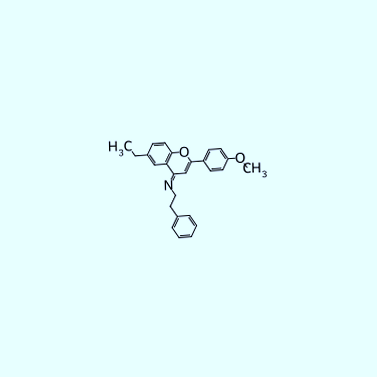 CCc1ccc2oc(-c3ccc(OC)cc3)cc(=NCCc3ccccc3)c2c1